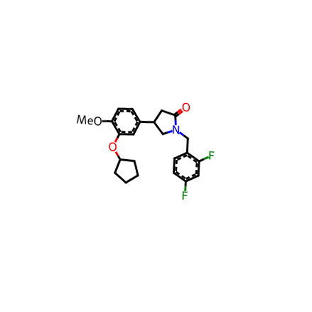 COc1ccc(C2CC(=O)N(Cc3ccc(F)cc3F)C2)cc1OC1CCCC1